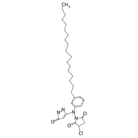 CCCCCCCCCCCCCCCCCCc1cccc(N(C2=CC(=O)N=N2)N2C(=O)CC(Cl)C2=O)c1